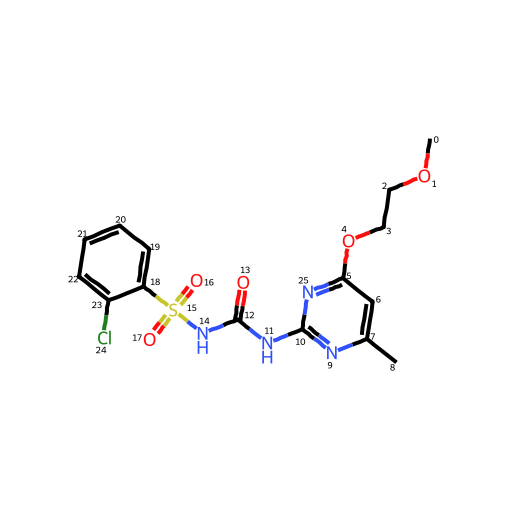 COCCOc1cc(C)nc(NC(=O)NS(=O)(=O)c2ccccc2Cl)n1